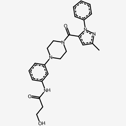 Cc1cc(C(=O)N2CCN(c3cccc(NC(=O)CCO)c3)CC2)n(-c2ccccc2)n1